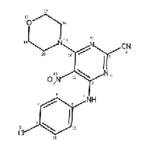 N#Cc1nc(Nc2ccc(Cl)cc2)c([N+](=O)[O-])c(N2CCOCC2)n1